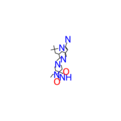 CCN1C(=O)NC(=O)C12CCN(CC1=NC=C3C=C(C#N)N=C3C1CC(C)(C)C)CC2